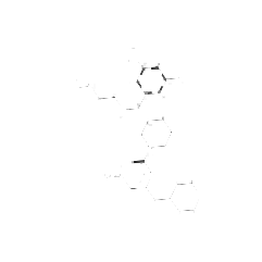 CNC[C@H](CC1CCOCC1)NC(=O)N1CCC[C@@H](C(OCCNC(=O)O)c2cc(C)cc(C)c2)C1